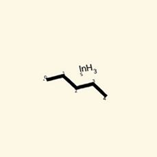 [CH2]CCCC.[InH3]